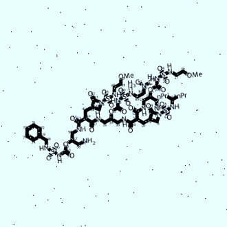 CCCC(CCC)NS(=O)(=O)N1CC(CC(C(=O)NCC(CN)OC(=O)NS(=O)(=O)NCCOC)C(=O)NCC(CNC(=O)C(CC2CN(S(=O)(=O)NCCOC)C2=O)C(=O)NCC(CN)OC(=O)NS(=O)(=O)NCc2ccccc2)OC(=O)NS(=O)(=O)NCCN(C)C)C1=O